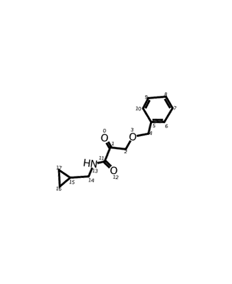 O=C(COCc1ccccc1)C(=O)NCC1CC1